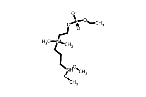 CCOP(=O)([O-])OCC[N+](C)(C)CCC[SiH](OC)OC